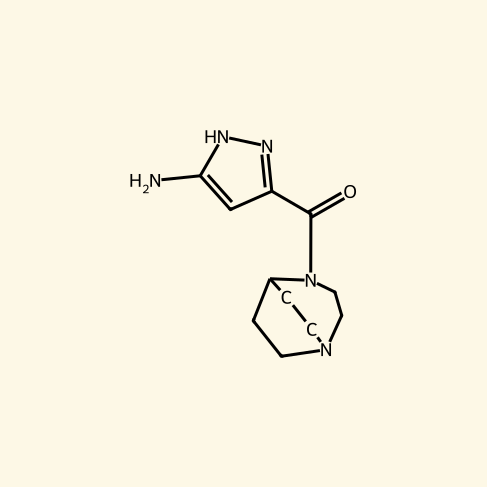 Nc1cc(C(=O)N2CCN3CCC2CC3)n[nH]1